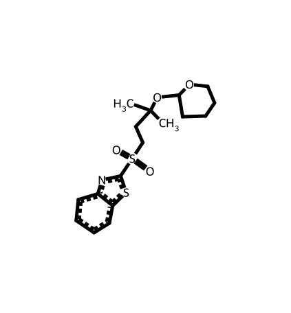 CC(C)(CCS(=O)(=O)c1nc2ccccc2s1)OC1CCCCO1